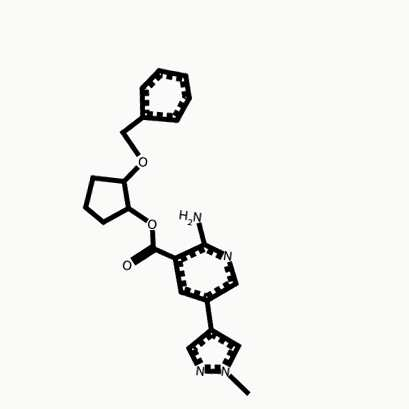 Cn1cc(-c2cnc(N)c(C(=O)OC3CCCC3OCc3ccccc3)c2)cn1